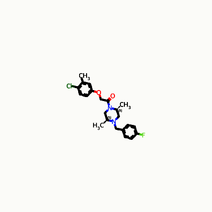 Cc1cc(OCC(=O)N2C[C@H](C)N(Cc3ccc(F)cc3)C[C@H]2C)ccc1Cl